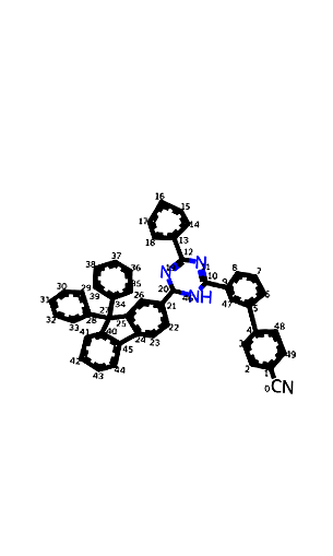 N#Cc1ccc(-c2cccc(C3=NC(c4ccccc4)=NC(c4ccc5c(c4)C(c4ccccc4)(c4ccccc4)c4ccccc4-5)N3)c2)cc1